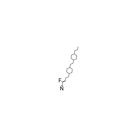 CCCC1CCC(CCC2CCC(CCC=C(F)C#N)CC2)CC1